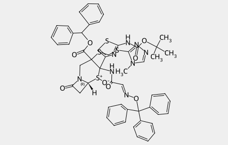 Cn1cnnc1SCSC1(C(=O)OC(c2ccccc2)c2ccccc2)CN2C(=O)C[C@H]2[S+]([O-])C1(NC(=O)C=NOC(c1ccccc1)(c1ccccc1)c1ccccc1)c1csc(NC(=O)OC(C)(C)C)n1